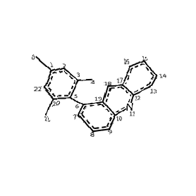 Cc1cc(C)c(-c2cccc3nc4ccccc4cc23)c(C)c1